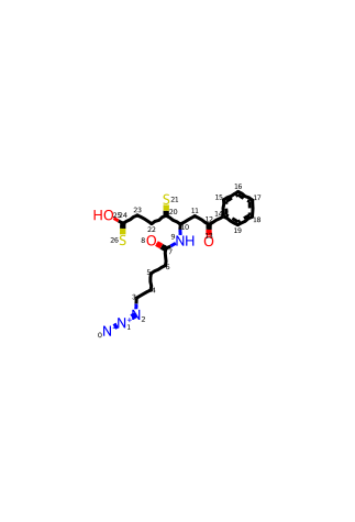 [N-]=[N+]=NCCCCC(=O)NC(CC(=O)c1ccccc1)C(=S)CCC(O)=S